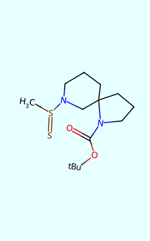 CS(=S)N1CCCC2(CCCN2C(=O)OC(C)(C)C)C1